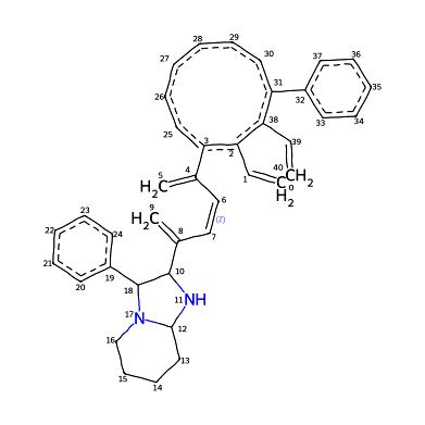 C=Cc1c(C(=C)/C=C\C(=C)C2NC3CCCCN3C2c2ccccc2)ccccccc(-c2ccccc2)c1C=C